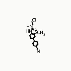 CSc1cc(-c2ccc(C#N)cc2)ccc1NC(=O)NCCCl